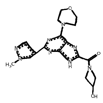 Cn1cc(-c2nc(N3CCOCC3)c3nc(C(=O)N4CC(O)C4)[nH]c3n2)cn1